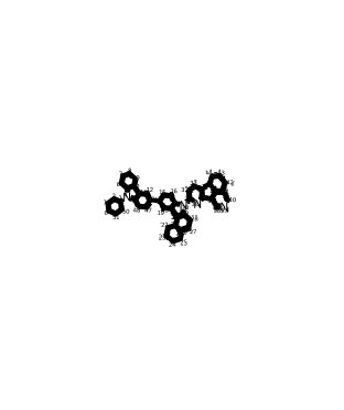 c1ccc(-n2c3ccccc3c3cc(-c4ccc5c(c4)c4c6ccccc6ccc4n5-c4ccc5c(n4)-c4cncc6cccc-5c46)ccc32)cc1